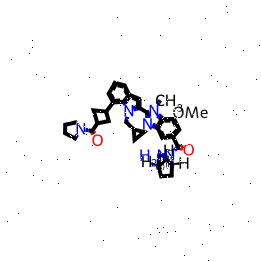 COc1cc(C(=O)N2C[C@H]3CC[C@@H]2[C@@H]3N)cc2nc(-c3cc4cccc(C5CC(C(=O)N6CCCC6)C5)c4n3CC3CC3)n(C)c12